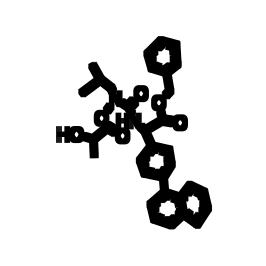 CC(C)CN(OC(=O)C(C)O)C(=O)NC(C(=O)OCc1ccccc1)c1ccc(-c2cccc3ccccc23)cc1